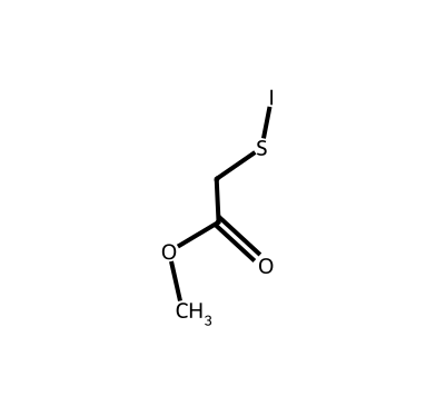 COC(=O)CSI